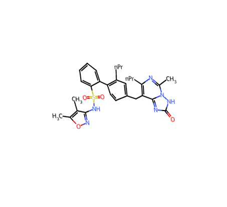 CCCc1cc(Cc2c(CCC)nc(C)n3[nH]c(=O)nc23)ccc1-c1ccccc1S(=O)(=O)Nc1noc(C)c1C